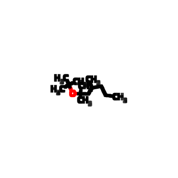 CCCC(C)CC(C)(C)OC(C)(C)C